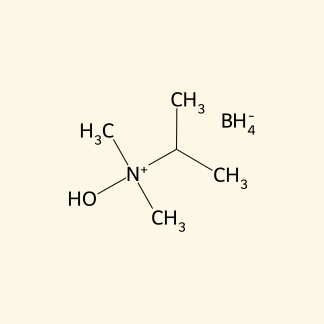 CC(C)[N+](C)(C)O.[BH4-]